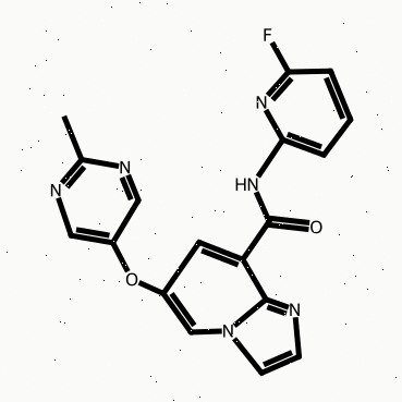 Cc1ncc(Oc2cc(C(=O)Nc3cccc(F)n3)c3nccn3c2)cn1